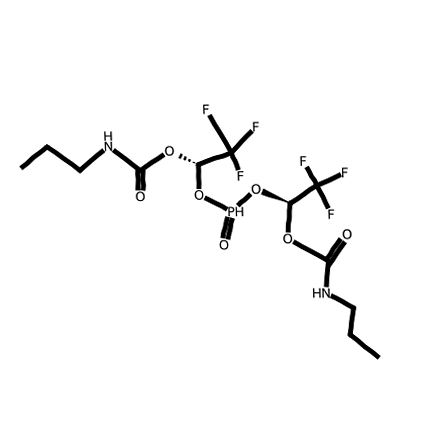 CCCNC(=O)O[C@@H](O[PH](=O)O[C@H](OC(=O)NCCC)C(F)(F)F)C(F)(F)F